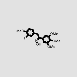 COc1ccc(CC(=NO)c2cc(OC)c(OC)c(OC)c2)cc1F